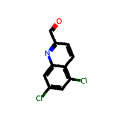 O=Cc1ccc2c(Cl)cc(Cl)cc2n1